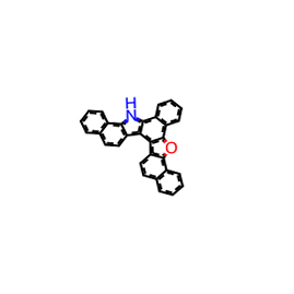 c1ccc2c(c1)ccc1c2[nH]c2c3ccccc3c3oc4c5ccccc5ccc4c3c12